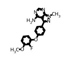 COc1cccc(Oc2ccc(-c3nn(C)c4ncnc(N)c34)cc2)c1F